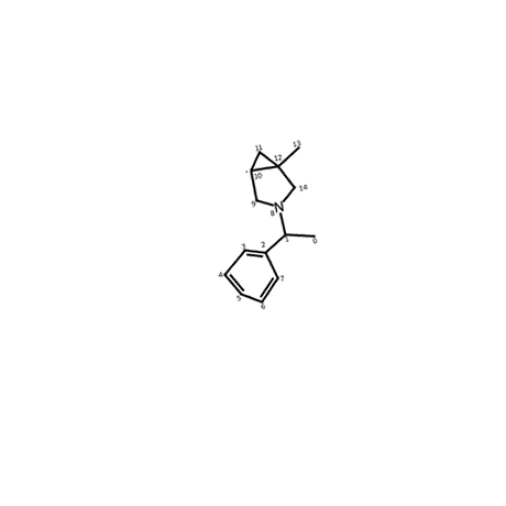 CC(c1ccccc1)N1C[C]2CC2(C)C1